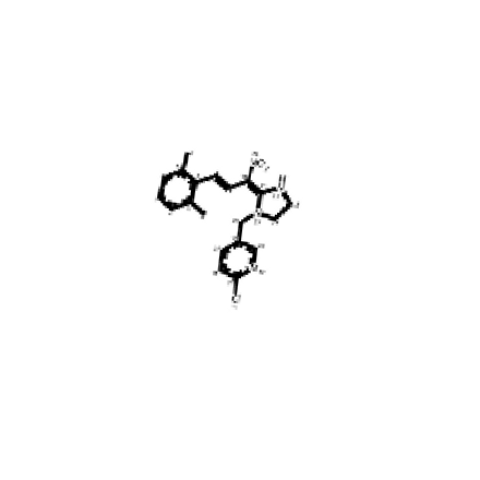 Cc1cccc(C)c1/C=C/C(=C1/NCCN1Cc1ccc(Cl)nc1)[N+](=O)[O-]